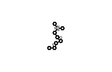 c1ccc(-c2nc(-c3ccccc3)nc(-c3cccc(-c4ccc5c(c4)oc4cccc(-c6ccc7sc8c(-c9ccccc9)cccc8c7c6)c45)c3)n2)cc1